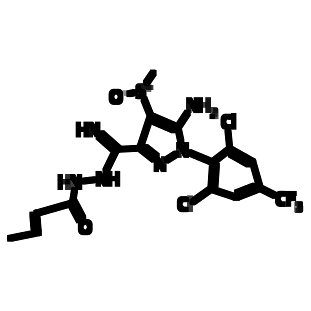 CC=CC(=O)NNC(=N)c1nn(-c2c(Cl)cc(C(F)(F)F)cc2Cl)c(N)c1[S+](C)[O-]